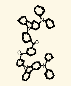 O=C(c1cccc(C(=O)c2cccc(-n3c4ccccc4c4cc(N(c5ccccc5)c5ccccc5)ccc43)c2)c1)c1cccc(-n2c3ccccc3c3cc(N(c4ccccc4)c4ccccc4)ccc32)c1